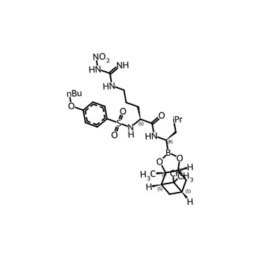 CCCCOc1ccc(S(=O)(=O)N[C@@H](CCCNC(=N)N[N+](=O)[O-])C(=O)N[C@@H](CC(C)C)B2O[C@@H]3C[C@@H]4C[C@@H](C4(C)C)[C@]3(C)O2)cc1